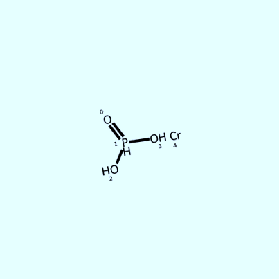 O=[PH](O)O.[Cr]